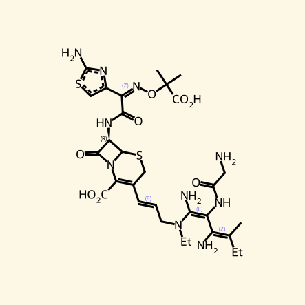 CC/C(C)=C(N)/C(NC(=O)CN)=C(/N)N(CC)C/C=C/C1=C(C(=O)O)N2C(=O)[C@@H](NC(=O)/C(=N\OC(C)(C)C(=O)O)c3csc(N)n3)C2SC1